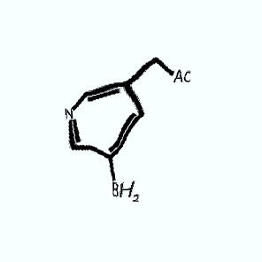 Bc1cncc(CC(C)=O)c1